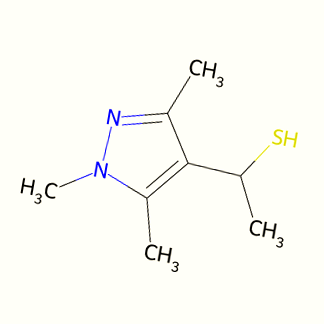 Cc1nn(C)c(C)c1C(C)S